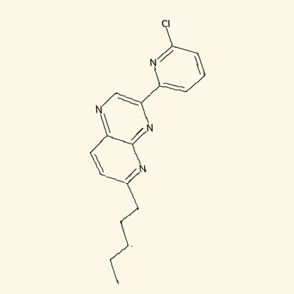 CC[CH]CCc1ccc2ncc(-c3cccc(Cl)n3)nc2n1